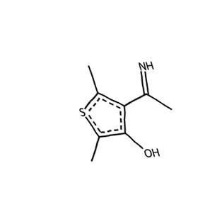 CC(=N)c1c(C)sc(C)c1O